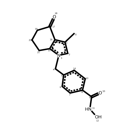 Cc1cn(Cc2ccc(C(=O)NO)cc2)c2c1C(=O)CCC2